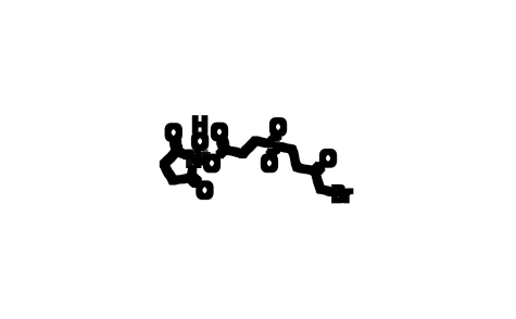 O=C(CBr)CCS(=O)(=O)CCC(=O)O[N+]1(O)C(=O)CCC1=O